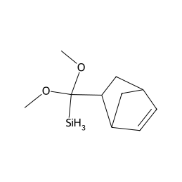 COC([SiH3])(OC)C1CC2C=CC1C2